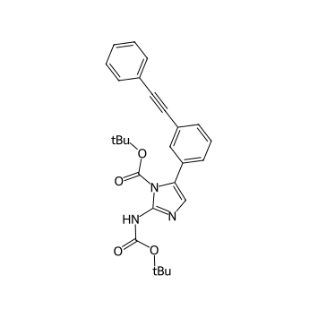 CC(C)(C)OC(=O)Nc1ncc(-c2cccc(C#Cc3ccccc3)c2)n1C(=O)OC(C)(C)C